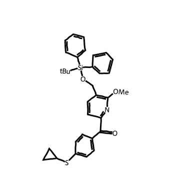 COc1nc(C(=O)c2ccc(SC3CC3)cc2)ccc1CO[Si](c1ccccc1)(c1ccccc1)C(C)(C)C